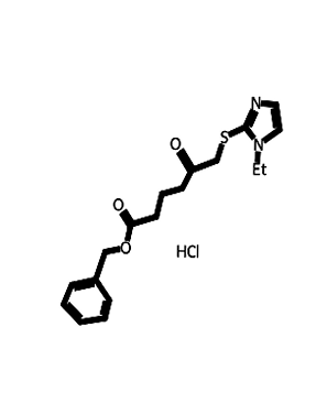 CCn1ccnc1SCC(=O)CCCC(=O)OCc1ccccc1.Cl